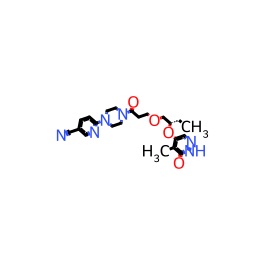 CC[C@@H](COCCC(=O)N1CCN(c2ccc(C#N)cn2)CC1)Oc1cn[nH]c(=O)c1C